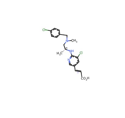 C[C@H](CN(C)Cc1ccc(Cl)cc1)Nc1ncc(/C=C/C(=O)O)cc1Cl